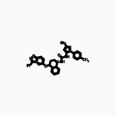 Cc1ccc(-n2nc(C(C)(C)C)cc2NC(=O)N[C@H]2CCC(Oc3ccc4nnc(C(C)C)n4c3)c3ccccc32)cc1